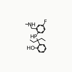 CCC(CC)(Pc1ccc(F)cc1CNC)c1ccccc1O